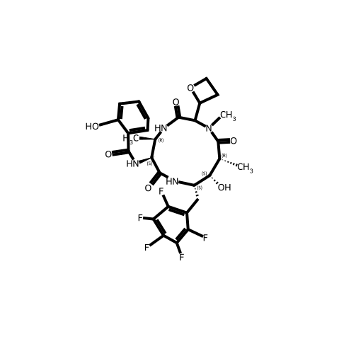 C[C@H]1NC(=O)C(C2CCO2)N(C)C(=O)[C@H](C)[C@H](O)[C@H](Cc2c(F)c(F)c(F)c(F)c2F)NC(=O)[C@H]1NC(=O)c1ccccc1O